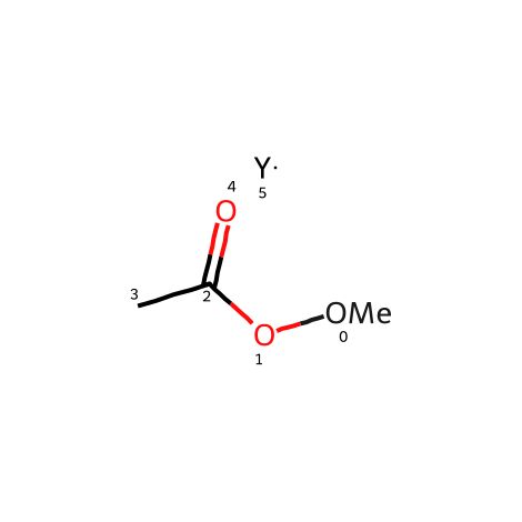 COOC(C)=O.[Y]